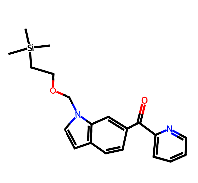 C[Si](C)(C)CCOCn1ccc2ccc(C(=O)c3ccccn3)cc21